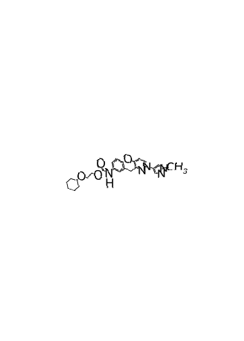 Cn1cc(-n2ccc(=O)c(Cc3cccc(NC(=O)OCCOC4CCCCC4)c3)n2)cn1